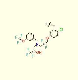 CCc1cc(OCC(F)(F)CN(Cc2cccc(OC(F)(F)F)c2)CC(O)C(F)(F)F)ccc1Cl